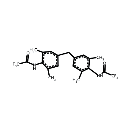 Cc1cc(Cc2cc(C)c(NC(=O)C(F)(F)F)c(C)c2)cc(C)c1NC(=O)C(F)(F)F